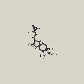 CCCCC1(N(C)C)CCC2(CC1)CC(=O)N(CCC1(C#N)CC1)C2